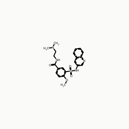 COc1ccc(C(=O)NCCN(C)C)cc1S(=O)(=O)Nc1cnc2ccccc2c1